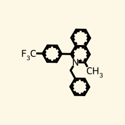 Cc1cc2ccccc2c(-c2ccc(C(F)(F)F)cc2)[n+]1Cc1ccccc1